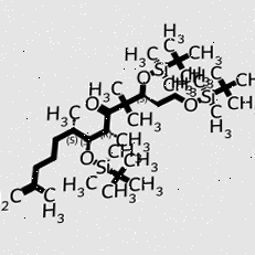 C=C(C)CCC[C@H](C)[C@H](O[Si](C)(C)C(C)(C)C)[C@@H](C)C(=O)C(C)(C)[C@H](CCO[Si](C)(C)C(C)(C)C)O[Si](C)(C)C(C)(C)C